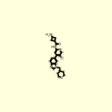 NC1CC(C(=O)Nc2cc(-c3ccc4ncn(CC5CCOCC5)c4c3)c(Cl)cn2)C1